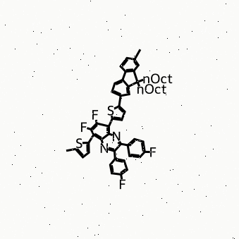 CCCCCCCCC1(CCCCCCCC)c2cc(C)ccc2-c2ccc(-c3ccc(-c4c(F)c(F)c(-c5ccc(C)s5)c5nc(-c6ccc(F)cc6)c(-c6ccc(F)cc6)nc45)s3)cc21